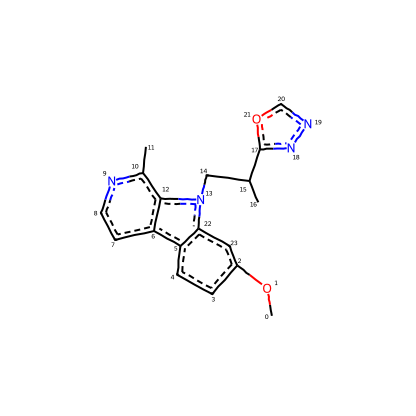 COc1ccc2c3ccnc(C)c3n(CC(C)c3nnco3)c2c1